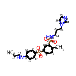 Cc1ccc(S(=O)(=O)c2ccc(NCCC#N)cc2)cc1S(=O)(=O)NCCCn1ccnc1